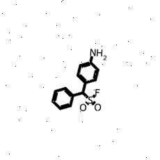 Nc1ccc(C(c2ccccc2)S(=O)(=O)F)cc1